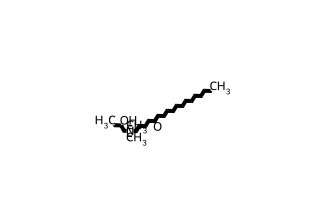 CCCCCCCCCCCCCC(=O)CCCC[N+](C)(C)CC(O)CC